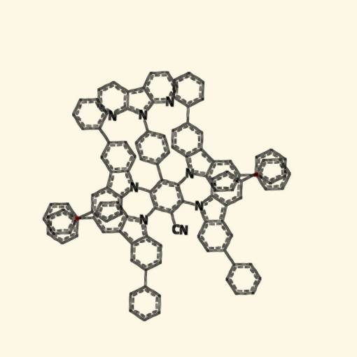 N#Cc1c(-n2c3ccc(-c4ccccc4)cc3c3cc(-c4ccccc4)ccc32)c(-n2c3ccc(-c4ccccc4)cc3c3cc(-c4ccccc4)ccc32)c(-c2ccc(-n3c4ncccc4c4cccnc43)cc2)c(-n2c3ccc(-c4ccccc4)cc3c3cc(-c4ccccc4)ccc32)c1-n1c2ccc(-c3ccccc3)cc2c2cc(-c3ccccc3)ccc21